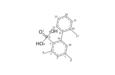 Cc1cc(C)c(P(=O)(O)O)c(-c2ccccc2C)c1